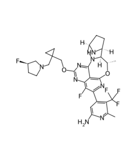 Cc1nc(N)cc(-c2nc3c4c(nc(OCC5(CN6CC[C@@H](F)C6)CC5)nc4c2F)N2C[C@H]4CC[C@H](N4)[C@H]2[C@H](C)O3)c1C(F)(F)F